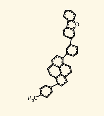 Cc1ccc(-c2ccc3ccc4c(-c5cccc(-c6ccc7c(c6)oc6ccccc67)c5)ccc5ccc2c3c54)cc1